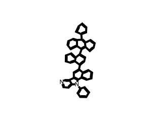 c1ccc(-c2c3ccccc3c(-c3ccc(-c4cc5c6cnccc6n(-c6ccccc6)c5c5ccccc45)c4ccccc34)c3ccccc23)cc1